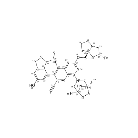 C#Cc1cc2c(N3C[C@H]4CC[C@@H](C3)N4)nc(OC[C@@]34CCCN3C[C@H](F)C4)nc2c(F)c1-c1cc(O)cc2c1C(CC)CC2